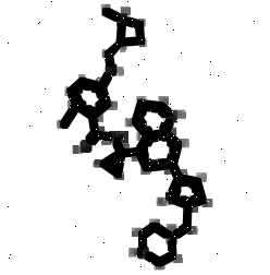 Cc1ccc(OC[C@@H]2CCN2C)cc1C(=O)NC1(c2cc(-c3ccc(CN4CCOCC4)s3)cc3ncccc23)CC1